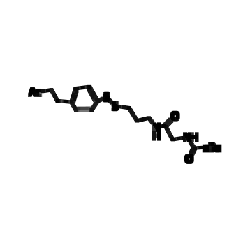 CCCCC(=O)NCC(=O)NCCCSSc1ccc(CCC(C)=O)cc1